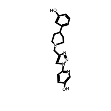 Oc1ccc(-n2cc(CN3CCC(c4cccc(O)c4)CC3)nn2)nc1